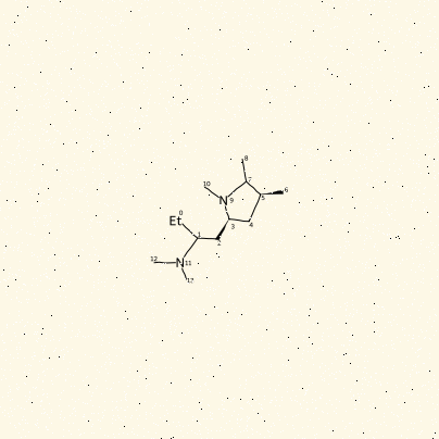 CCC(C[C@@H]1C[C@H](C)C(C)N1C)N(C)C